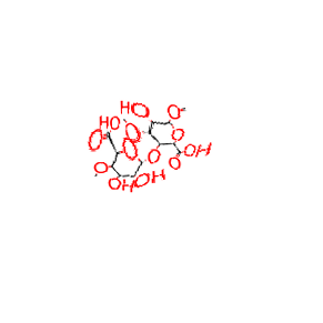 COC1OC(C(=O)O)C(O[C@H]2O[C@H](C(=O)O)[C@H](OC)C(O)C2O)[C@H](OC)[C@@H]1O